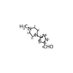 CN1CCN(c2nnc(C=O)s2)CC1